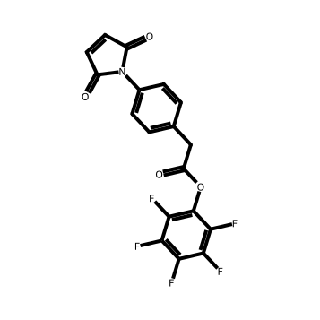 O=C(Cc1ccc(N2C(=O)C=CC2=O)cc1)Oc1c(F)c(F)c(F)c(F)c1F